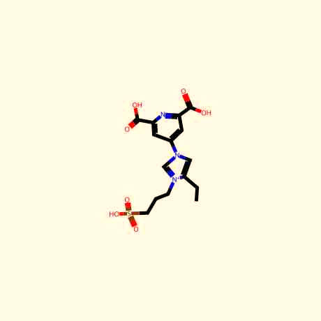 CCc1cn(-c2cc(C(=O)O)nc(C(=O)O)c2)c[n+]1CCCS(=O)(=O)O